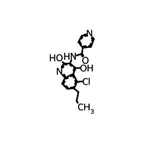 CCCc1ccc2nc(O)c(NC(=O)c3ccncc3)c(O)c2c1Cl